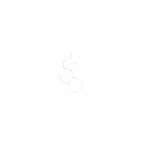 O=C(O)c1cc2c3c(ccc2[nH]1)OC=CO3